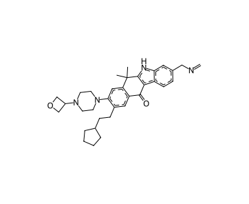 C=NCc1ccc2c3c([nH]c2c1)C(C)(C)c1cc(N2CCN(C4COC4)CC2)c(CCC2CCCC2)cc1C3=O